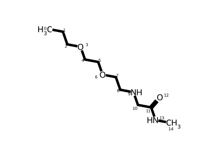 CCCOCCOCCNCC(=O)NC